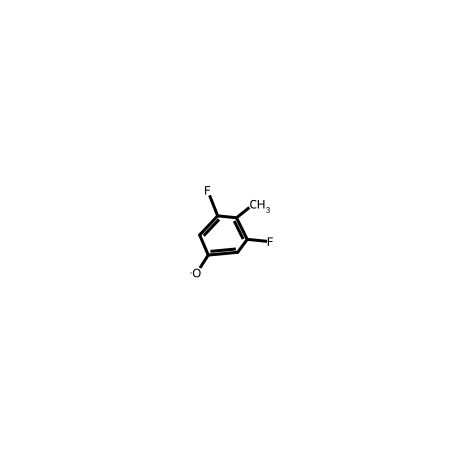 Cc1c(F)cc([O])cc1F